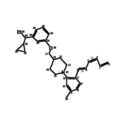 C=C/C=C\C=C\c1ccc(C)cc1N1CCC(COc2cccc(C(CC)C3CC3)c2)CC1